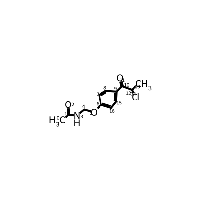 CC(=O)NCOc1ccc(C(=O)C(C)Cl)cc1